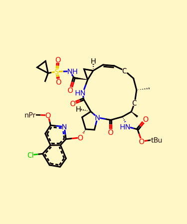 CCCOc1cc2c(Cl)cccc2c(O[C@@H]2C[C@H]3C(=O)N[C@]4(C(=O)NS(=O)(=O)C5(C)CC5)C[C@H]4/C=C\CC[C@H](C)C[C@@H](C)[C@H](NC(=O)OC(C)(C)C)C(=O)N3C2)n1